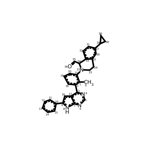 Cc1c(-c2ncnc3[nH]c(-c4ccccc4)cc23)cccc1N1CCc2cc(C3CC3)ccc2C1C=O